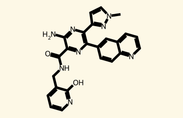 Cn1ccc(-c2nc(N)c(C(=O)NCc3cccnc3O)nc2-c2ccc3ncccc3c2)n1